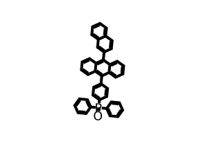 O=P(c1ccccc1)(c1ccccc1)c1ccc(-c2c3ccccc3c(-c3ccc4ccccc4c3)c3ccccc23)cc1